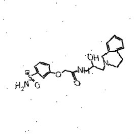 NS(=O)(=O)c1cccc(OCC(=O)NCC(O)CN2CCc3ccccc3C2)c1